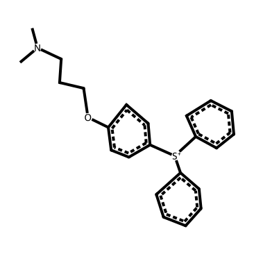 CN(C)CCCOc1ccc([S+](c2ccccc2)c2ccccc2)cc1